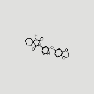 O=C1NC2(CCCCC2)C(=O)N1c1ccnc(Oc2ccc3c(c2)OCCO3)c1